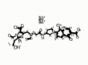 C[C@@H](O)[C@@H]1C(=O)N2C(C(=O)[O-])=C(CN(C=S)SCC(=O)NC3CCN(c4c(F)cc5c(=O)c(C(=O)[O-])c[nH]c5c4Cl)C3)S[C@H]12.[Na+].[Na+]